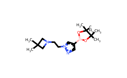 CC1(C)CN(CCn2cc(B3OC(C)(C)C(C)(C)O3)cn2)C1